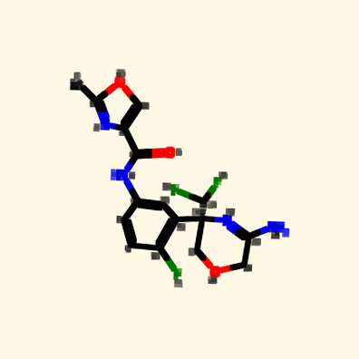 CCc1nc(C(=O)Nc2ccc(F)c([C@]3(C(F)F)COCC(N)=N3)c2)co1